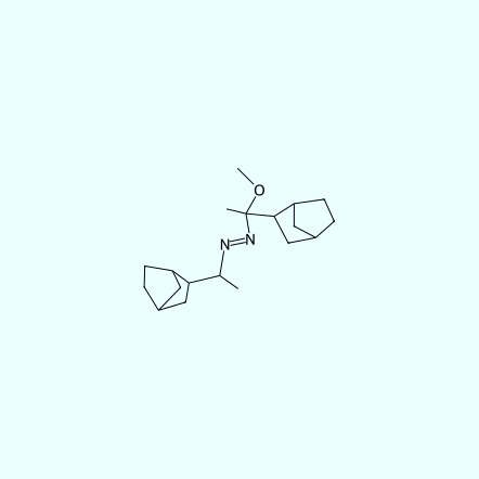 COC(C)(N=NC(C)C1CC2CCC1C2)C1CC2CCC1C2